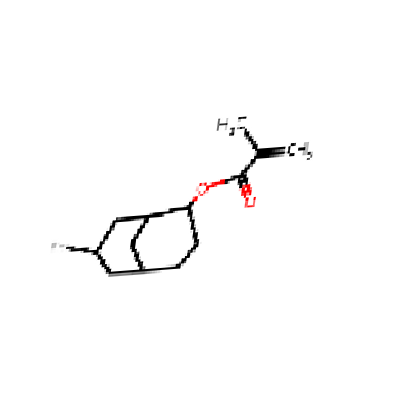 C=C(C)C(=O)OC1CCC2CC(CC)CC1C2